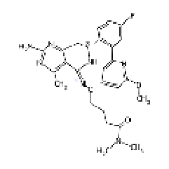 COc1cccc(-c2cc(F)ccc2[C@H]2Cc3nc(N)nc(C)c3/C(=N/OCCCC(=O)N(C)C)N2)n1